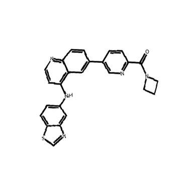 O=C(c1ccc(-c2ccc3nccc(Nc4ccc5scnc5c4)c3c2)cn1)N1CCC1